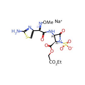 CCOC(=O)COC(=O)[C@H]1[C@@H](NC(=O)/C(=N\OC)c2csc(N)n2)C(=O)N1S(=O)(=O)[O-].[Na+]